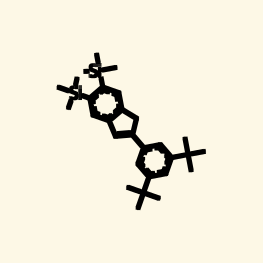 CC(C)(C)c1cc(C2=Cc3cc([Si](C)(C)C)c([Si](C)(C)C)cc3C2)cc(C(C)(C)C)c1